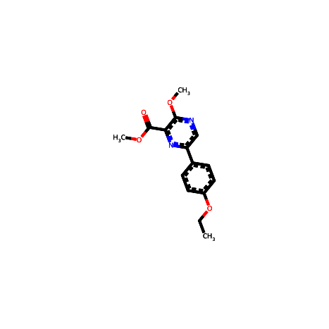 CCOc1ccc(-c2cnc(OC)c(C(=O)OC)n2)cc1